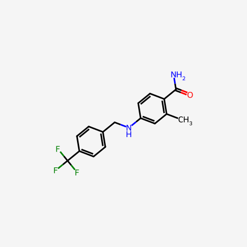 Cc1cc(NCc2ccc(C(F)(F)F)cc2)ccc1C(N)=O